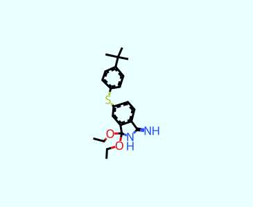 CCOC1(OCC)NC(=N)c2ccc(Sc3ccc(C(C)(C)C)cc3)cc21